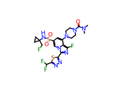 CN(C)C(=O)N1CCN(c2cc(S(=O)(=O)NC3(CF)CC3)cn3c(-c4nnc(C(F)F)s4)nc(F)c23)CC1